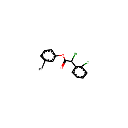 CC(C)c1cccc(OC(=O)C(Br)c2ccccc2Cl)c1